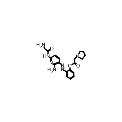 NCC(=O)Nc1ccc(/N=N/c2ccccc2OC(=O)CN2CCCC2)c(N)n1